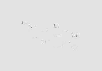 CCc1c[nH]c(=O)c2ccc(OC3CCN(CC)CC3)c(F)c12